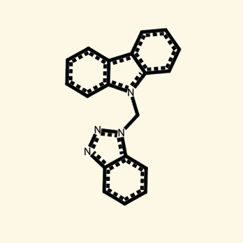 c1ccc2c(c1)nnn2Cn1c2ccccc2c2ccccc21